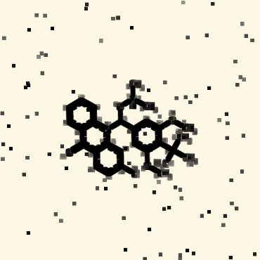 COc1cc(C(O[SiH](C)C)n2c3ccccc3c(=O)c3ccc(Cl)cc32)cc(OC)c1C(C)(C)C